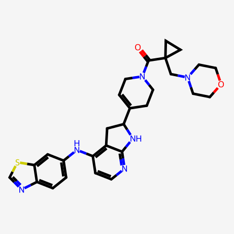 O=C(N1CC=C(C2Cc3c(Nc4ccc5ncsc5c4)ccnc3N2)CC1)C1(CN2CCOCC2)CC1